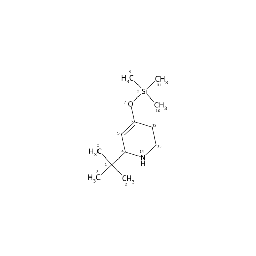 CC(C)(C)C1C=C(O[Si](C)(C)C)CCN1